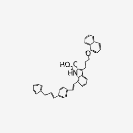 O=C(O)c1[nH]c2c(C=Cc3ccc(C=CCc4ccccc4)cc3)cccc2c1CCCOc1cccc2ccccc12